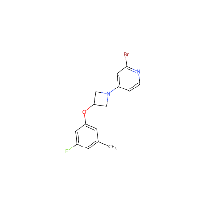 Fc1cc(OC2CN(c3ccnc(Br)c3)C2)cc(C(F)(F)F)c1